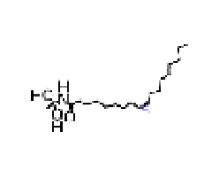 CCCCCCCC/C=C\CCCCCCCC(=O)NC(C)(O)O